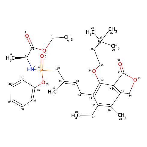 CCOC(=O)[C@H](C)NP(=O)(C/C(C)=C/Cc1c(CC)c(C)c2c(c1OCC[Si](C)(C)C)C(=O)OC2)Oc1ccccc1